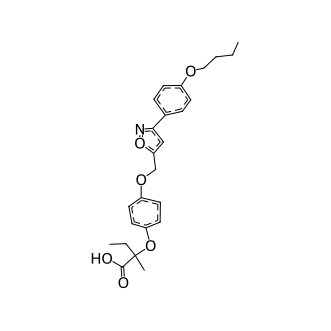 CCCCOc1ccc(-c2cc(COc3ccc(OC(C)(CC)C(=O)O)cc3)on2)cc1